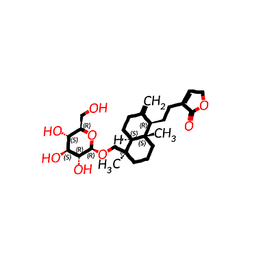 C=C1CC[C@@H]2[C@](C)(CO[C@@H]3O[C@H](CO)[C@@H](O)[C@H](O)[C@H]3O)CCC[C@@]2(C)[C@@H]1CCC1=CCOC1=O